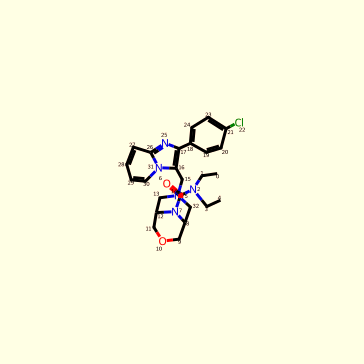 CCN(CC)C(=O)N1C2COCC1CN(Cc1c(-c3ccc(Cl)cc3)nc3ccccn13)C2